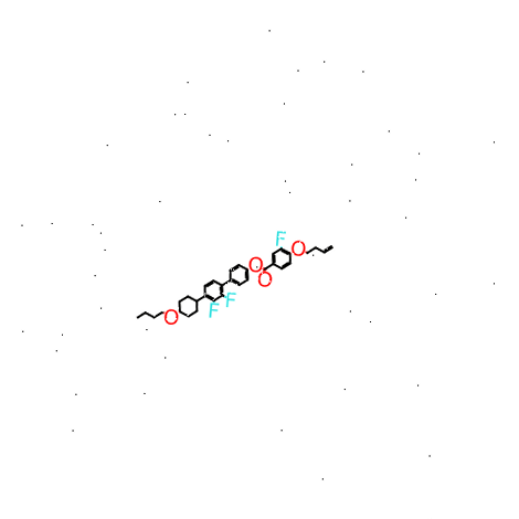 C=CCCOc1ccc(C(=O)Oc2ccc(-c3ccc(C4CCC(OCCCC)CC4)c(F)c3F)cc2)cc1F